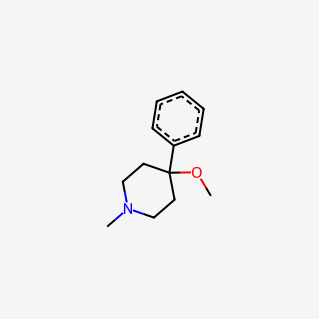 COC1(c2ccccc2)CCN(C)CC1